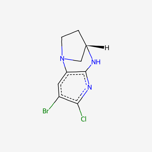 Clc1nc2c(cc1Br)N1CC[C@@H](C1)N2